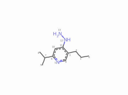 CCCc1cnc(C(C)C)cc1NN